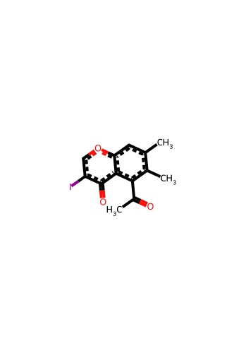 CC(=O)c1c(C)c(C)cc2occ(I)c(=O)c12